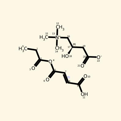 CCC(=O)OC(=O)/C=C/C(=O)O.C[N+](C)(C)C[C@H](O)CC(=O)[O-]